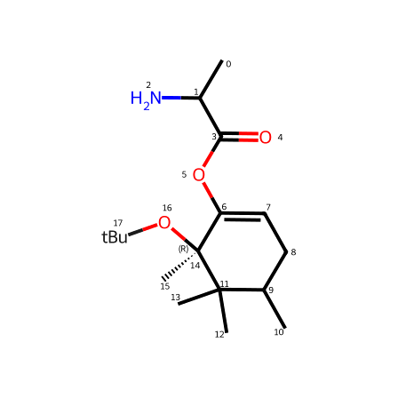 CC(N)C(=O)OC1=CCC(C)C(C)(C)[C@@]1(C)OC(C)(C)C